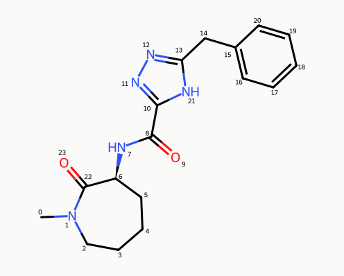 CN1CCCC[C@H](NC(=O)c2nnc(Cc3ccccc3)[nH]2)C1=O